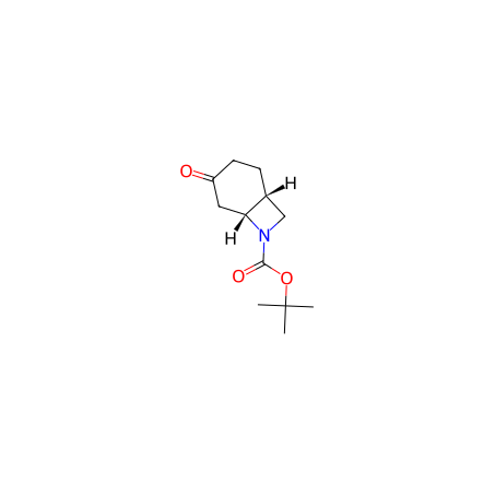 CC(C)(C)OC(=O)N1C[C@H]2CCC(=O)C[C@H]21